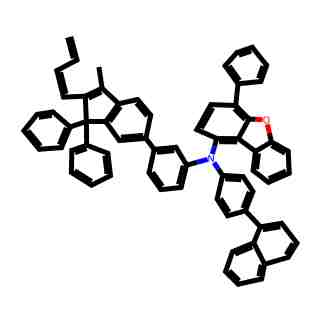 C=C/C=C\C1=C(C)c2ccc(-c3cccc(N(c4ccc(-c5cccc6ccccc56)cc4)c4ccc(-c5ccccc5)c5oc6ccccc6c45)c3)cc2C1(c1ccccc1)c1ccccc1